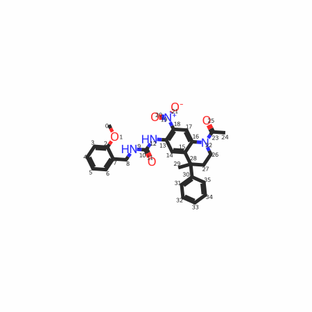 COc1ccccc1CNC(=O)Nc1cc2c(cc1[N+](=O)[O-])N(C(C)=O)CCC2(C)c1ccccc1